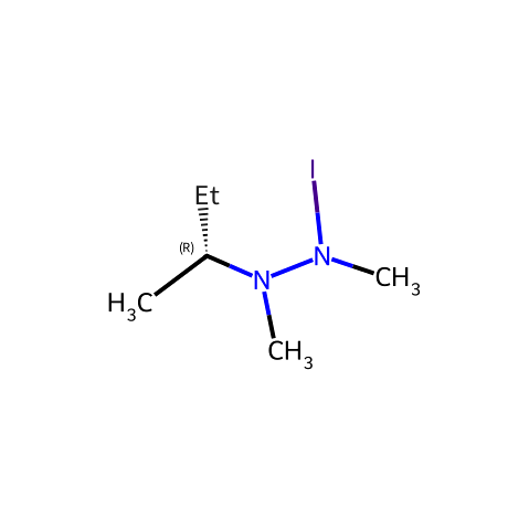 CC[C@@H](C)N(C)N(C)I